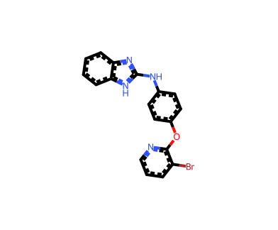 Brc1cccnc1Oc1ccc(Nc2nc3ccccc3[nH]2)cc1